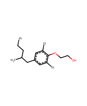 CCc1cc(CC(C)CCC(C)C)cc(CC)c1OCCO